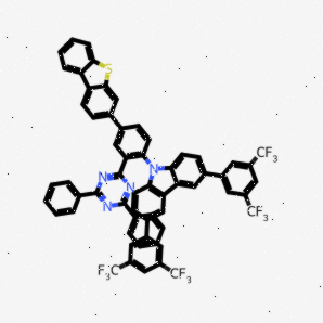 FC(F)(F)c1cc(-c2ccc3c(c2)c2cc(-c4cc(C(F)(F)F)cc(C(F)(F)F)c4)ccc2n3-c2ccc(-c3ccc4c(c3)sc3ccccc34)cc2-c2nc(-c3ccccc3)nc(-c3ccccc3)n2)cc(C(F)(F)F)c1